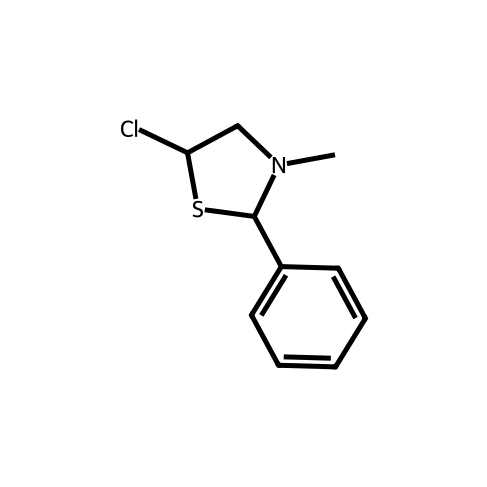 CN1CC(Cl)SC1c1ccccc1